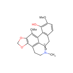 COc1ccc2c(c1O)-c1c(OC)c3c(c4c1[C@H](C2)N(C)CC4)OCO3